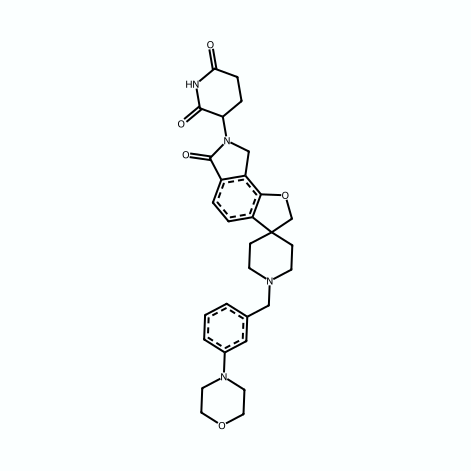 O=C1CCC(N2Cc3c(ccc4c3OCC43CCN(Cc4cccc(N5CCOCC5)c4)CC3)C2=O)C(=O)N1